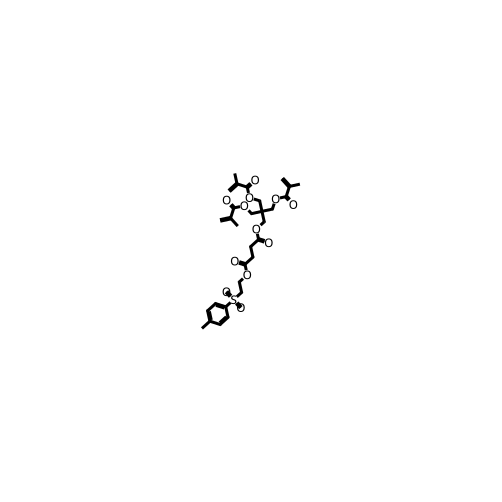 C=C(C)C(=O)OCC(COC(=O)CCC(=O)OCCS(=O)(=O)c1ccc(C)cc1)(COC(=O)C(=C)C)COC(=O)C(=C)C